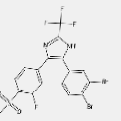 CS(=O)(=O)c1ccc(-c2nc(C(F)(F)F)[nH]c2-c2ccc(Br)c(Br)c2)cc1F